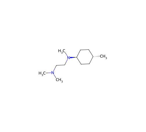 CN(C)CCN(C)[C@H]1CC[C@H](C)CC1